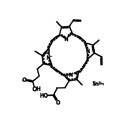 C=CC1=C(C)c2cc3[n-]c(cc4[n-]c(cc5nc(cc1n2)C(C)=C5C=C)c(C)c4CCC(=O)O)c(CCC(=O)O)c3C.[Sn+2]